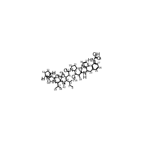 CCC(C)C(C(CC(=O)N1CCC[C@H]1C(OC)C(C)C(=O)NC(Cc1cccc(NC(=O)O)c1)c1nccs1)OC)N(C)C(=O)C(NC(=O)[C@@H]1[C@H]2CC[C@H](C2)N1C)C(C)C